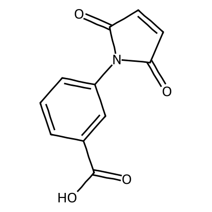 O=C(O)c1cccc(N2C(=O)C=CC2=O)c1